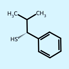 CC(C)[C@@H](S)c1ccccc1